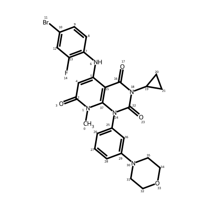 Cn1c(=O)cc(Nc2ccc(Br)cc2F)c2c(=O)n(C3CC3)c(=O)n(-c3cccc(N4CCOCC4)c3)c21